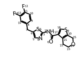 O=C(Nc1ncc(Cc2ccc(F)c(F)c2)s1)c1csc2c1CCOC2